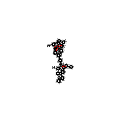 N#Cc1ccc(-n2c3ccccc3c3ccc4c(c5ccccc5n4-c4cccc5c4oc4ccccc45)c32)c(-c2nc(-c3ccc(-c4ccccc4)cc3)nc(-c3ccc(-c4ccc5oc6c(-n7c8ccccc8c8c7ccc7c9ccccc9n(-c9ccc(C#N)cc9-c9nc(-c%10ccccc%10)nc(-c%10cccc(-c%11ccccc%11)c%10)n9)c78)cccc6c5c4)cc3)n2)c1